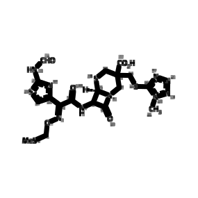 CSCON=C(C(=O)NC1C(=O)N2CC(CSc3nnnn3C)(C(=O)O)CS[C@H]12)c1csc(NC=O)n1